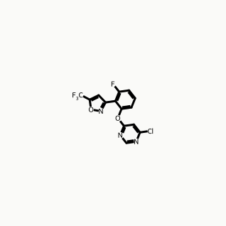 Fc1cccc(Oc2cc(Cl)ncn2)c1-c1cc(C(F)(F)F)on1